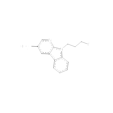 O=C(O)c1cnc2c(c1)c1ccccc1n2CCCF